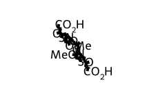 C=C(COc1nc2cc(C(=O)CCC(=O)O)sc2cc1OC)COc1nc2cc(C(=O)CCC(=O)O)sc2cc1OC